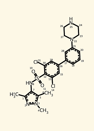 Cc1nn(C)c(C)c1NS(=O)(=O)c1c(Cl)cc(-c2cccc(N3CCNCC3)c2)cc1Cl